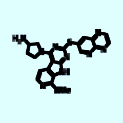 CNc1nccc2c1[nH]c1nc(Sc3cnc4nccnc4c3)nc(N3CCC(N)C3)c12